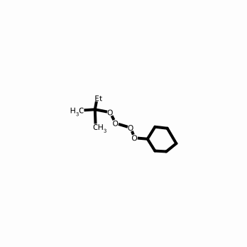 CCC(C)(C)OOOOC1CCCCC1